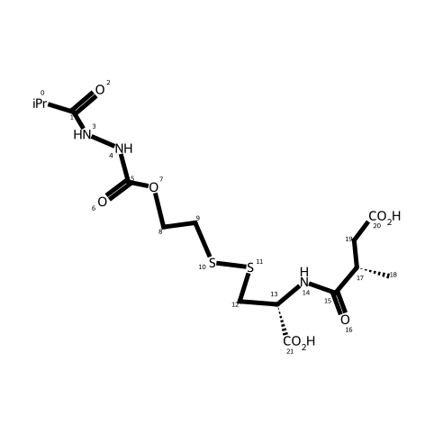 CC(C)C(=O)NNC(=O)OCCSSC[C@H](NC(=O)[C@@H](C)CC(=O)O)C(=O)O